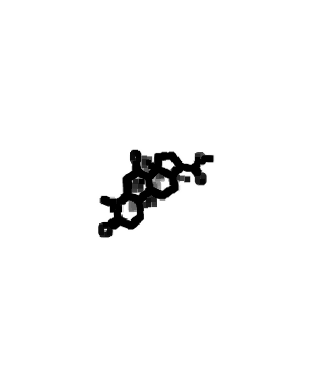 COC(=O)C1CC[C@H]2[C@@H]3C(=O)C=C4N(C)C(=O)CC[C@]4(C)[C@@H]3CC[C@]12C